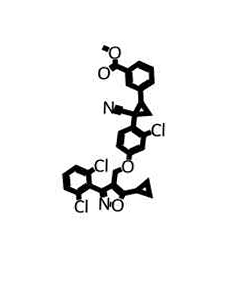 COC(=O)c1cccc(C2CC2(C#N)c2ccc(OCc3c(-c4c(Cl)cccc4Cl)noc3C3CC3)cc2Cl)c1